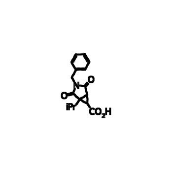 CC(C)C12C(=O)N(Cc3ccccc3)C(=O)C1C2C(=O)O